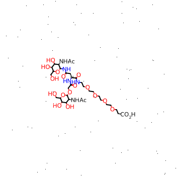 CC(=O)NC1C(NC(=O)C[C@H](NC(=O)COC2OC(CO)C(O)C(O)C2NC(C)=O)C(=O)NCCOCCOCCOCCOCCC(=O)O)OC(CO)C(O)C1O